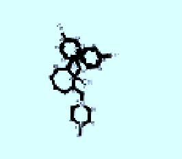 CN1CCN(CC2CCCC/C(=C/c3ccc(F)cc3)C2(O)Cc2ccc(F)cc2)CC1